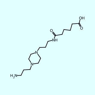 NCCCN1CCN(CCCNC(=O)CCCCC(=O)O)CC1